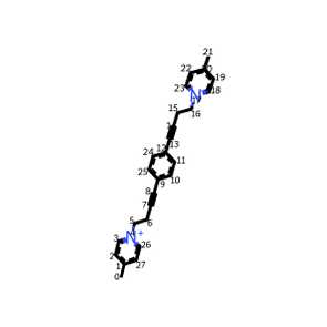 Cc1cc[n+](CCC#Cc2ccc(C#CCC[n+]3ccc(C)cc3)cc2)cc1